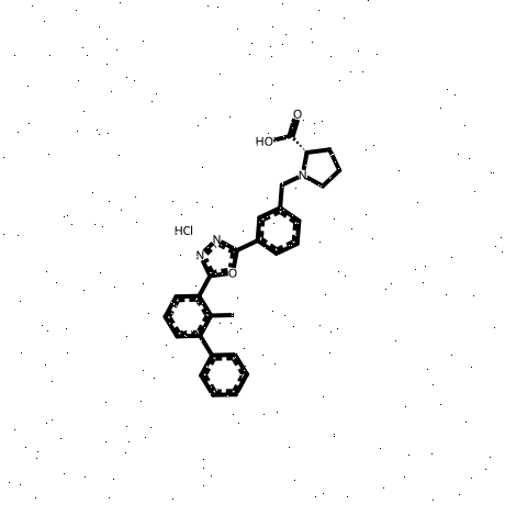 Cc1c(-c2ccccc2)cccc1-c1nnc(-c2cccc(CN3CCC[C@H]3C(=O)O)c2)o1.Cl